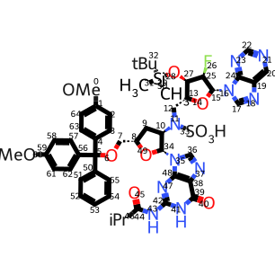 COc1ccc(C(OC[C@@H]2C[C@@H](N(C[C@H]3O[C@@H](n4cnc5cncnc54)[C@H](F)[C@@H]3O[Si](C)(C)C(C)(C)C)S(=O)(=O)O)[C@H](n3cnc4c(=O)[nH]c(NC(=O)C(C)C)nc43)O2)(c2ccccc2)c2ccc(OC)cc2)cc1